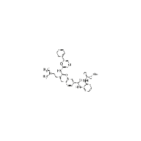 CN(C)CCN(Cc1ccc(C(=O)Nc2ccccc2NC(=O)OC(C)(C)C)cn1)C(=O)NC1=COC=C(C2=CC=CCC2)O1